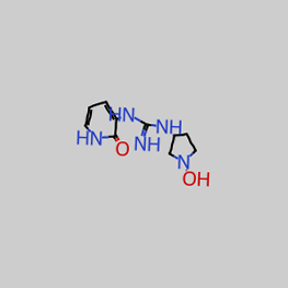 N=C(Nc1ccc[nH]c1=O)NC1CCN(O)C1